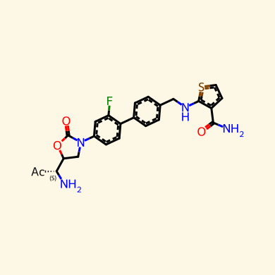 CC(=O)[C@@H](N)C1CN(c2ccc(-c3ccc(CNc4sccc4C(N)=O)cc3)c(F)c2)C(=O)O1